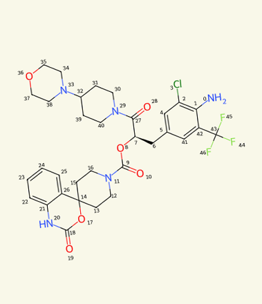 Nc1c(Cl)cc(C[C@@H](OC(=O)N2CCC3(CC2)OC(=O)Nc2ccccc23)C(=O)N2CCC(N3CCOCC3)CC2)cc1C(F)(F)F